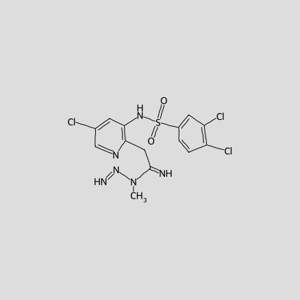 CN(N=N)C(=N)Cc1ncc(Cl)cc1NS(=O)(=O)c1ccc(Cl)c(Cl)c1